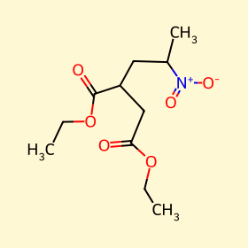 CCOC(=O)CC(CC(C)[N+](=O)[O-])C(=O)OCC